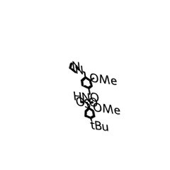 COc1cc(C(=O)NS(=O)(=O)c2ccc(C(C)(C)C)cc2OC)ccc1Cn1cccn1